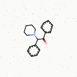 O=C(c1ccccc1)C(c1ccccc1)N1CCCCC1